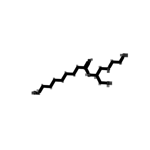 CCCCCCCCCCCCCCCCCC(=O)OC(CO)COCCO